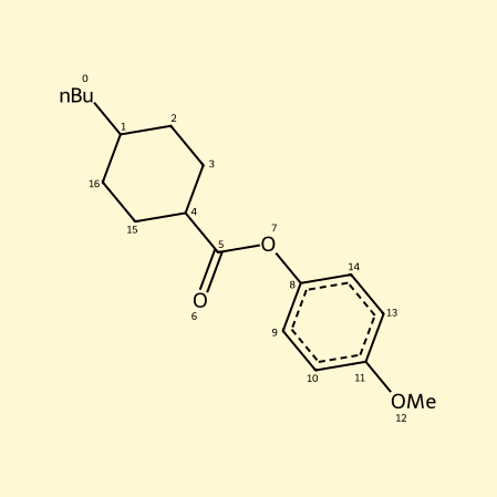 CCCCC1CCC(C(=O)Oc2ccc(OC)cc2)CC1